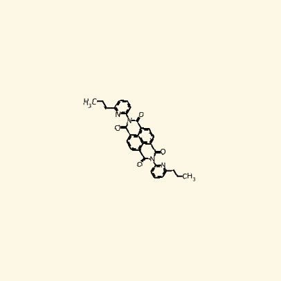 CCCc1cccc(N2C(=O)c3ccc4c5c(ccc(c35)C2=O)C(=O)N(c2cccc(CCC)n2)C4=O)n1